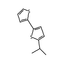 CC(C)c1ccc(-c2cccs2)s1